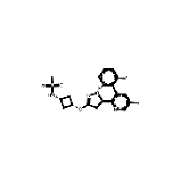 Cc1cnc(C2CC(O[C@H]3C[C@@H](NS(C)(=O)=O)C3)=NO2)c(-c2c(F)cccc2F)c1